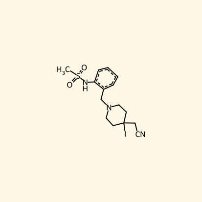 CS(=O)(=O)Nc1ccccc1CN1CCC(I)(CC#N)CC1